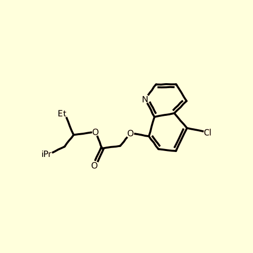 CCC(CC(C)C)OC(=O)COc1ccc(Cl)c2cccnc12